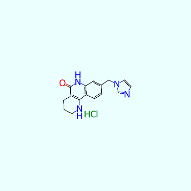 Cl.O=c1[nH]c2cc(Cn3ccnc3)ccc2c2c1CCCN2